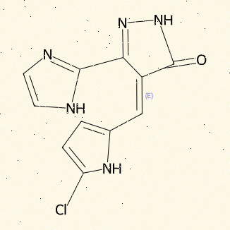 O=C1NN=C(c2ncc[nH]2)/C1=C\c1ccc(Cl)[nH]1